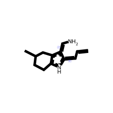 C=C/C=c1/[nH]c2c(/c1=C/N)CC(C)CC2